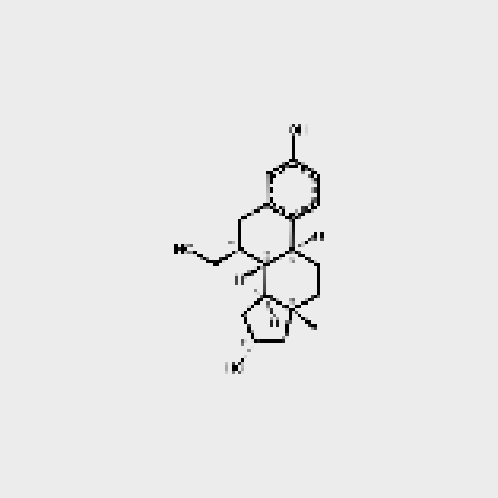 C[C@]12CC[C@@H]3c4ccc(O)cc4C[C@H](CC#N)[C@H]3[C@@H]1C[C@@H](O)C2